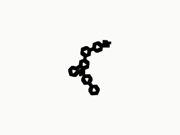 Brc1ccc(-c2cccc(-c3ccc4c(c3)c3ccccc3n4-c3ccc(-c4ccccc4)cc3)c2)cc1